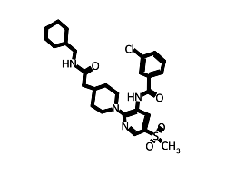 CS(=O)(=O)c1cnc(N2CCC(CC(=O)NCC3CCCCC3)CC2)c(NC(=O)c2cccc(Cl)c2)c1